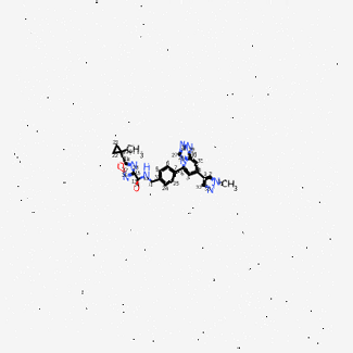 Cn1cc(-c2cc(-c3ccc(CNC(=O)c4noc(C5(C)CC5)n4)cc3)n3cnnc3c2)cn1